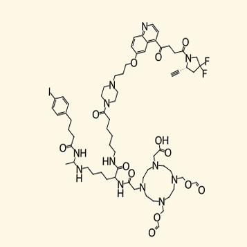 C#C[C@H]1CC(F)(F)CN1C(=O)CCC(=O)c1ccnc2ccc(OCCCN3CCN(C(=O)CCCCCNC(=O)C(CCCCNC(C)NC(=O)CCCc4ccc(I)cc4)NC(=O)CN4CCN(COC=O)CCN(COC=O)CCN(CC(=O)O)CC4)CC3)cc12